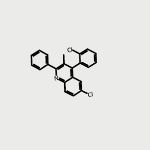 Cc1c(-c2ccccc2)nc2ccc(Cl)cc2c1-c1ccccc1Cl